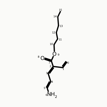 C=C/C(=C\C=C\N)C(=O)OCCCCCC